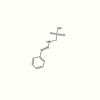 O=S(=O)(O)CNN=Nc1ccccc1